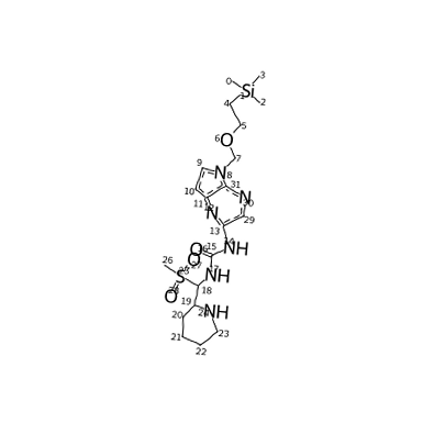 C[Si](C)(C)CCOCn1ccc2nc(NC(=O)NC(C3CCCCN3)S(C)(=O)=O)cnc21